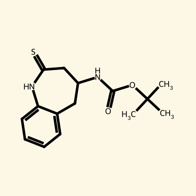 CC(C)(C)OC(=O)NC1CC(=S)Nc2ccccc2C1